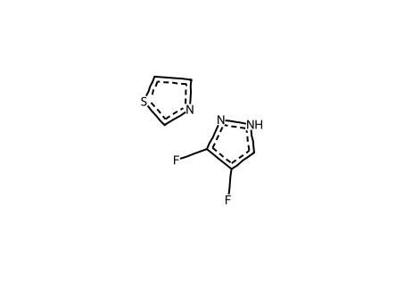 Fc1c[nH]nc1F.c1cscn1